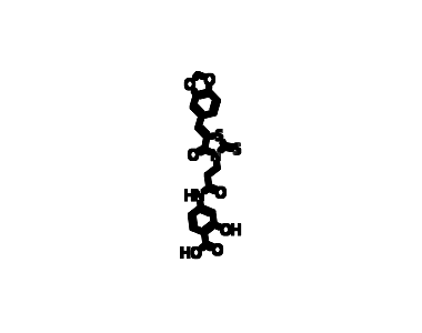 O=C(CCN1C(=O)/C(=C/c2ccc3c(c2)OCO3)SC1=S)Nc1ccc(C(=O)O)c(O)c1